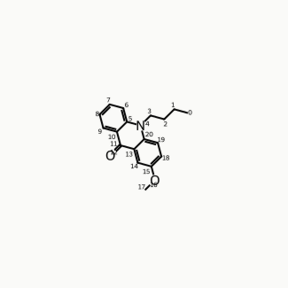 CCCCn1c2ccccc2c(=O)c2cc(OC)ccc21